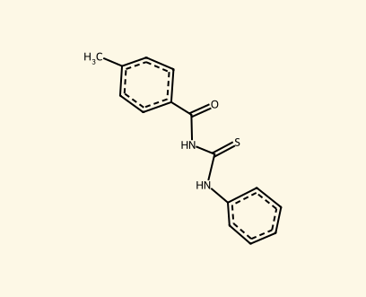 Cc1ccc(C(=O)NC(=S)Nc2ccccc2)cc1